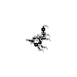 C=Cc1ccc(-c2nc(C)c(C(=O)NC(CCN)C(=O)N(C)C3C(=O)NC(C)C(=O)NC(C(=O)NCC#N)Cc4ccc(OCCN)c(c4)-c4cc3ccc4OCCN)c(C)n2)cc1